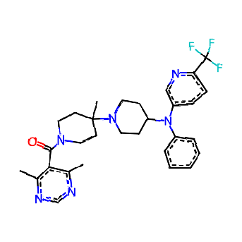 Cc1ncnc(C)c1C(=O)N1CCC(C)(N2CCC(N(c3ccccc3)c3ccc(C(F)(F)F)nc3)CC2)CC1